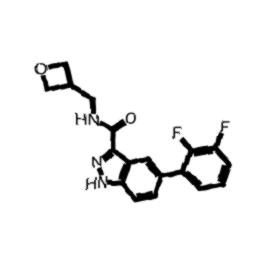 O=C(NCC1COC1)c1n[nH]c2ccc(-c3cccc(F)c3F)cc12